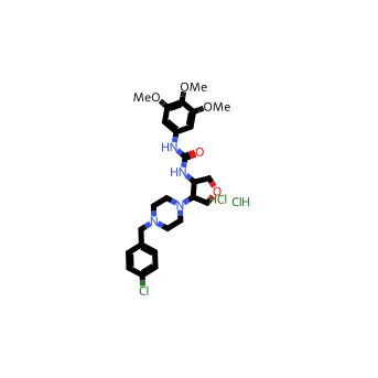 COc1cc(NC(=O)NC2COCC2N2CCN(Cc3ccc(Cl)cc3)CC2)cc(OC)c1OC.Cl.Cl